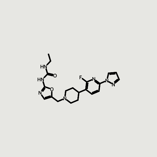 CCNC(=O)Nc1ncc(CN2CCC(c3ccc(-n4cccn4)nc3F)CC2)o1